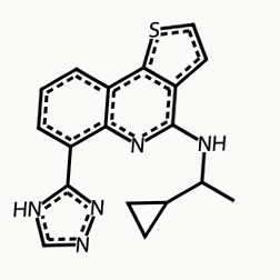 CC(Nc1nc2c(-c3nnc[nH]3)cccc2c2sccc12)C1CC1